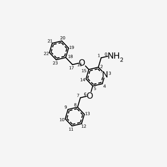 NCc1ncc(OCc2ccccc2)cc1OCc1ccccc1